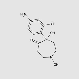 Nc1ccc(C2(O)CCN(O)CCC2=O)c(Cl)c1